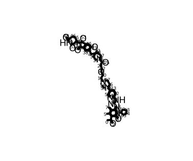 CC(=O)c1c(C)c2cnc(Nc3ccc(N4CCN(CCOCCC(=O)N5CCC6(CC5)COc5cc7c(cc5C6)C(=O)N(C5CCC(=O)NC5=O)C7=O)CC4)cn3)nc2n(C2CCCC2)c1=O